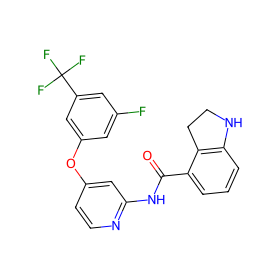 O=C(Nc1cc(Oc2cc(F)cc(C(F)(F)F)c2)ccn1)c1cccc2c1CCN2